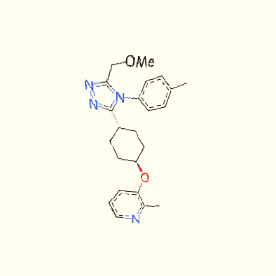 COCc1nnc([C@H]2CC[C@H](Oc3cccnc3C)CC2)n1-c1ccc(C)cc1